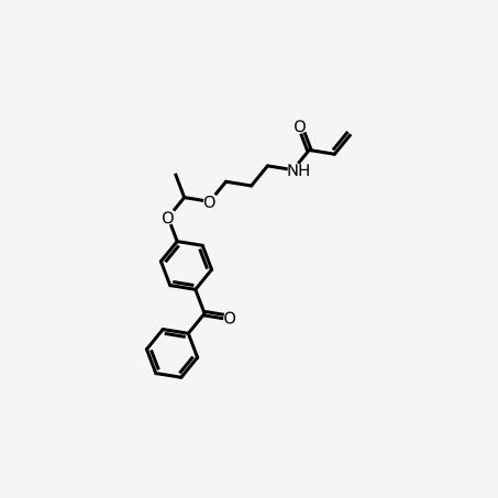 C=CC(=O)NCCCOC(C)Oc1ccc(C(=O)c2ccccc2)cc1